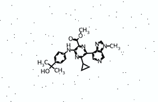 COC(=O)c1nc(-c2cncc3c2ncn3C)c(C2CC2)nc1Nc1ccc(C(C)(C)O)cc1